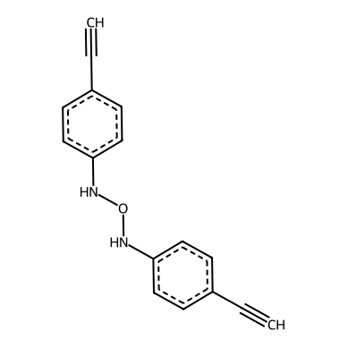 C#Cc1ccc(NONc2ccc(C#C)cc2)cc1